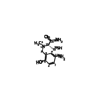 CN(Cc1cc(N)ccc1O)[C@@H](CS)C(N)=O